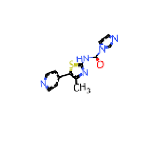 Cc1nc(NC(=O)n2ccnc2)sc1-c1ccncc1